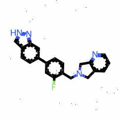 Fc1cc(-c2ccc3c[nH]nc3c2)ccc1CN1Cc2cccnc2C1